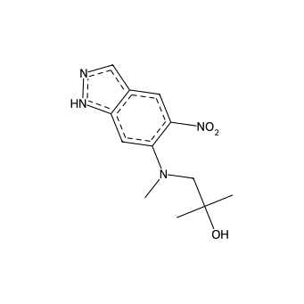 CN(CC(C)(C)O)c1cc2[nH]ncc2cc1[N+](=O)[O-]